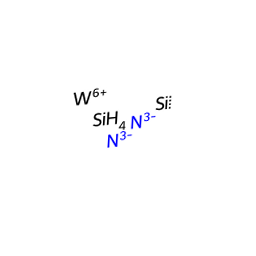 [N-3].[N-3].[SiH4].[Si].[W+6]